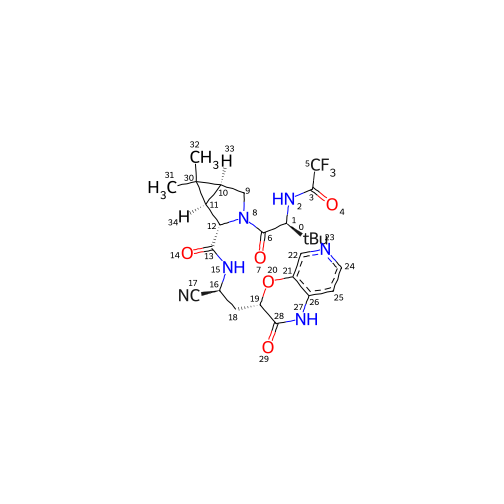 CC(C)(C)[C@H](NC(=O)C(F)(F)F)C(=O)N1C[C@H]2[C@@H]([C@H]1C(=O)N[C@H](C#N)C[C@@H]1Oc3cnccc3NC1=O)C2(C)C